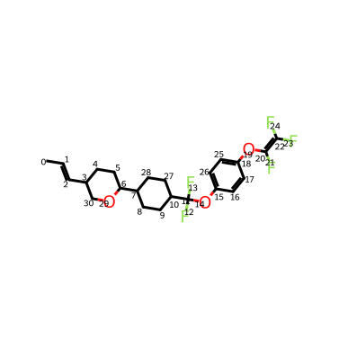 C/C=C/C1CCC(C2CCC(C(F)(F)Oc3ccc(OC(F)=C(F)F)cc3)CC2)OC1